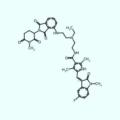 CCN(CCNC(=O)c1c(C)[nH]c(/C=C2\C(=O)N(C)c3ccc(F)cc32)c1C)CCNc1cccc2c1C(=O)N(C1CCC(=O)N(C)C1=O)C2=O